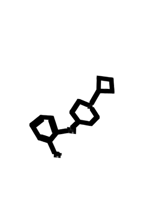 CC(C)c1ccccc1NC1CCN(C2CCC2)CC1